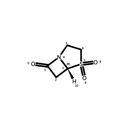 O=C1C[C@@H]2N1CCS2(=O)=O